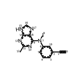 C#Cc1cccc(N(I)c2nc(C)nc3[nH]cnc23)c1